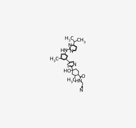 Cc1cc(Nc2nccc(C(C)C)n2)cc(-c2cnc(C3(O)CCC(C(=O)NCC#N)C(C)C3)s2)c1